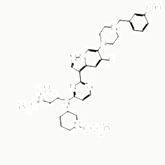 CN(C)CCN(c1ccnc(-c2cnn3cc(N4CCN(Cc5cccc(O)c5)CC4)c(F)cc23)n1)[C@@H]1CCCN(C(=O)O)C1